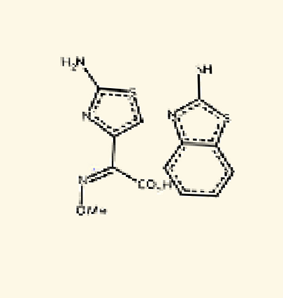 CO/N=C(\C(=O)O)c1csc(N)n1.Sc1nc2ccccc2s1